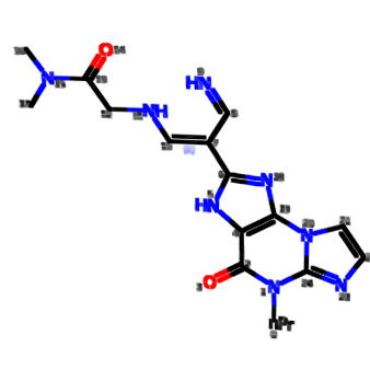 CCCn1c(=O)c2[nH]c(/C(C=N)=C/NCC(=O)N(C)C)nc2n2ccnc12